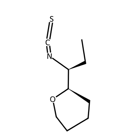 CC[C@H](N=C=S)[C@H]1CCCCO1